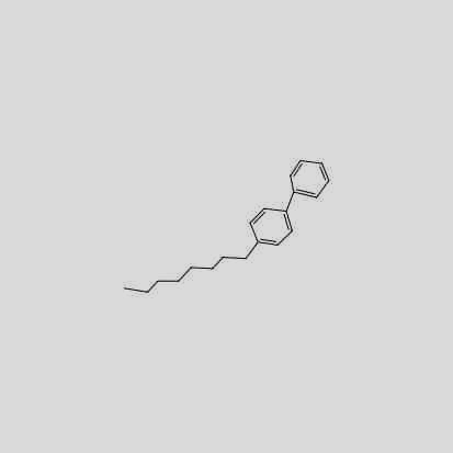 CCCCCCCCc1ccc(-c2ccccc2)cc1